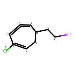 ClC1=CCC(CCI)C=C=C1